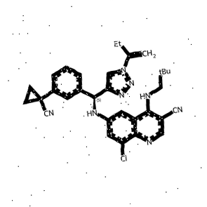 C=C(CC)n1cc([C@@H](Nc2cc(Cl)c3ncc(C#N)c(NCC(C)(C)C)c3c2)c2cccc(C3(C#N)CC3)c2)nn1